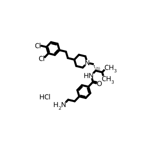 CC(C)[C@@H](CN1CCC(CCc2ccc(Cl)c(Cl)c2)CC1)NC(=O)c1ccc(CCN)cc1.Cl